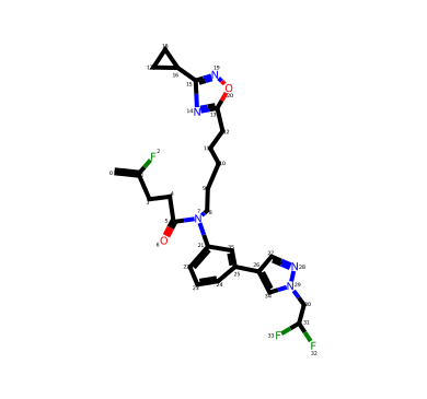 C=C(F)CCC(=O)N(CCCCCc1nc(C2CC2)no1)c1cccc(-c2cnn(CC(F)F)c2)c1